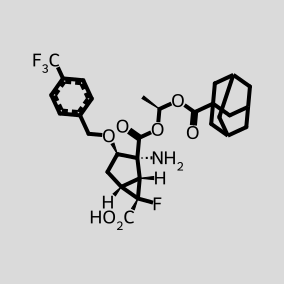 C[C@@H](OC(=O)C12CC3CC(CC(C3)C1)C2)OC(=O)[C@@]1(N)[C@H]2[C@@H](C[C@H]1OCc1ccc(C(F)(F)F)cc1)[C@]2(F)C(=O)O